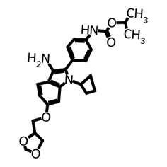 CC(C)OC(=O)Nc1ccc(-c2c(N)c3ccc(OCC4COCO4)cc3n2C2CCC2)cc1